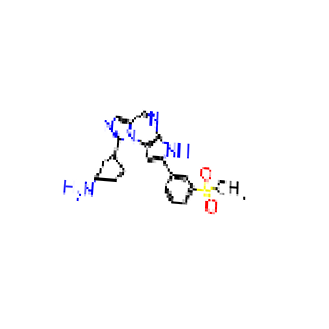 CS(=O)(=O)c1cccc(-c2cc3c(ncc4cnc([C@H]5CC[C@@H](N)C5)n43)[nH]2)c1